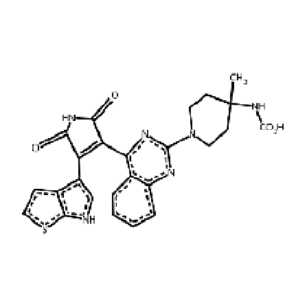 CC1(NC(=O)O)CCN(c2nc(C3=C(c4c[nH]c5sccc45)C(=O)NC3=O)c3ccccc3n2)CC1